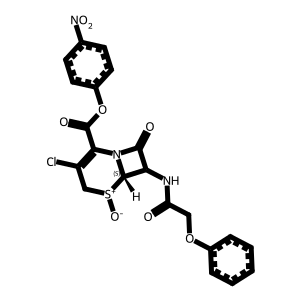 O=C(COc1ccccc1)NC1C(=O)N2C(C(=O)Oc3ccc([N+](=O)[O-])cc3)=C(Cl)C[S+]([O-])[C@@H]12